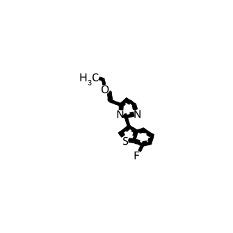 CCOC=Cc1ccnc(-c2csc3c(F)cccc23)n1